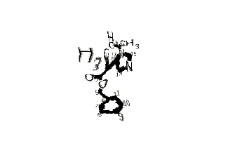 CC(C(=O)OCc1ccccc1)c1cncn1C(C)C